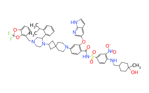 CC(C)c1ccccc1C1CN(Cc2cccc3c2OC(F)(F)O3)CCN1C1CC2(CCN(c3ccc(C(=O)NS(=O)(=O)c4ccc(NCC5CCC(C)(O)CC5)c([N+](=O)[O-])c4)c(Oc4cnc5[nH]ccc5c4)c3)CC2)C1